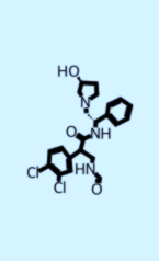 O=CNCC(C(=O)N[C@H](CN1CC[C@H](O)C1)c1ccccc1)c1ccc(Cl)c(Cl)c1